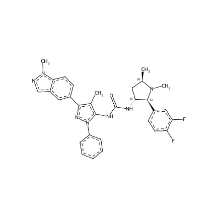 Cc1c(-c2ccc3c(cnn3C)c2)nn(-c2ccccc2)c1NC(=O)N[C@@H]1C[C@@H](C)N(C)[C@H]1c1ccc(F)c(F)c1